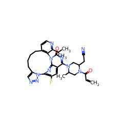 C=CC(=O)N1CC(C)N(c2nc(=O)n3c4nc(c(F)cc24)-n2nncc2CCCCc2ccnc(C(C)C)c2-3)CC1CC#N